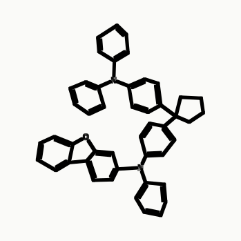 c1ccc(N(c2ccccc2)c2ccc(C3(c4ccc(N(c5ccccc5)c5ccc6c(c5)oc5ccccc56)cc4)CCCC3)cc2)cc1